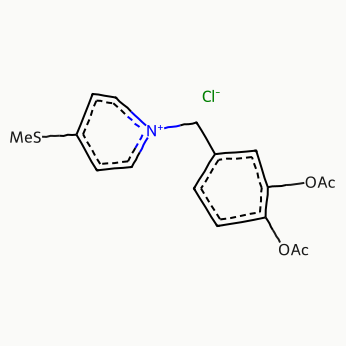 CSc1cc[n+](Cc2ccc(OC(C)=O)c(OC(C)=O)c2)cc1.[Cl-]